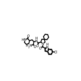 NC(=O)C(CC1CCCNC1=O)NC(=O)C1CC2(CCCCC2)CN1C(=O)c1cc2ccc(Cl)cc2[nH]1